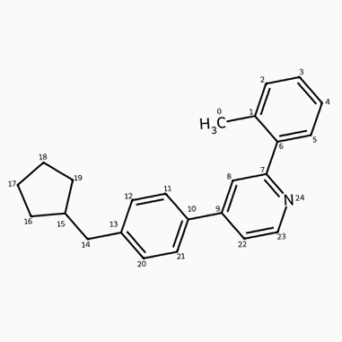 Cc1ccccc1-c1cc(-c2ccc(CC3CCCC3)cc2)ccn1